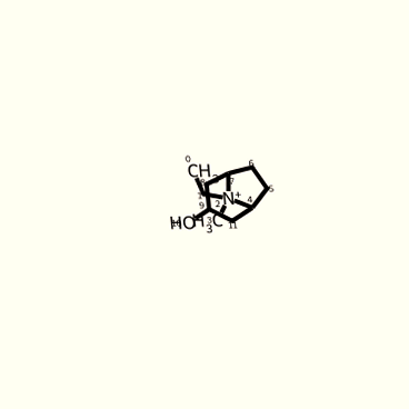 CC[N+]1(C)C2CCC1CC(O)C2